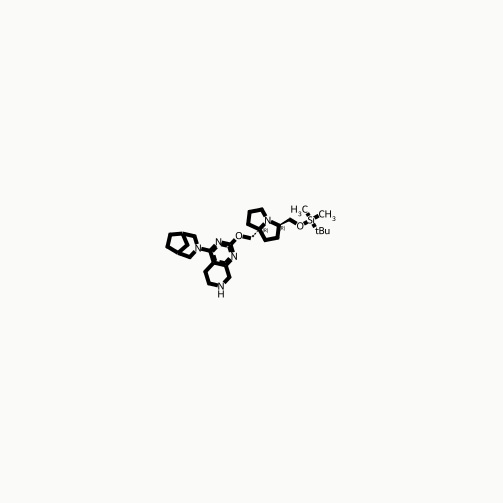 CC(C)(C)[Si](C)(C)OC[C@H]1CC[C@@]2(COc3nc4c(c(N5CC6CCC(C6)C5)n3)CCNC4)CCCN12